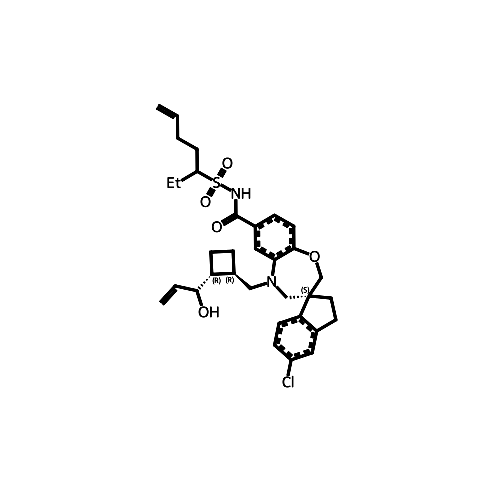 C=CCCC(CC)S(=O)(=O)NC(=O)c1ccc2c(c1)N(C[C@@H]1CC[C@H]1C(O)C=C)C[C@@]1(CCc3cc(Cl)ccc31)CO2